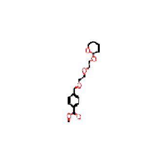 COC(=O)c1ccc(COCCOCCOC2CCCCO2)cc1